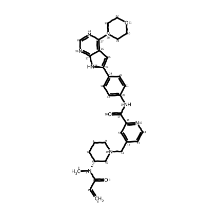 C=CC(=O)N(C)[C@@H]1CCCN(Cc2ccnc(C(=O)Nc3ccc(-c4cc5c(N6CCOCC6)ncnc5[nH]4)cc3)c2)C1